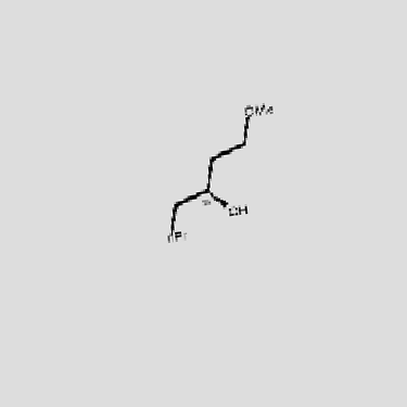 CCCC[C@H](O)CCOC